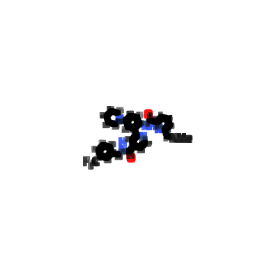 CNCc1cccc(C(=O)Nc2ccc(N3CCCCC3)cc2-c2cc(C(=O)NCc3cccc(C(F)(F)F)c3)ccn2)n1